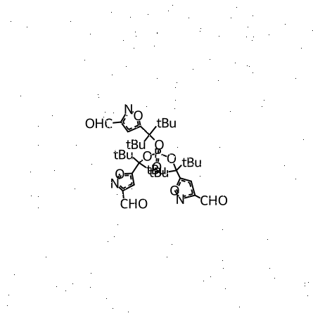 CC(C)(C)C(OP(=O)(OC(c1cc(C=O)no1)(C(C)(C)C)C(C)(C)C)OC(c1cc(C=O)no1)(C(C)(C)C)C(C)(C)C)(c1cc(C=O)no1)C(C)(C)C